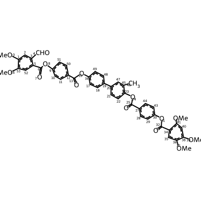 COc1cc(C=O)c(C(=O)Oc2ccc(C(=O)Oc3ccc(-c4ccc(OC(=O)c5ccc(OC(=O)c6cc(OC)c(OC)cc6OC)cc5)c(C)c4)cc3)cc2)cc1OC